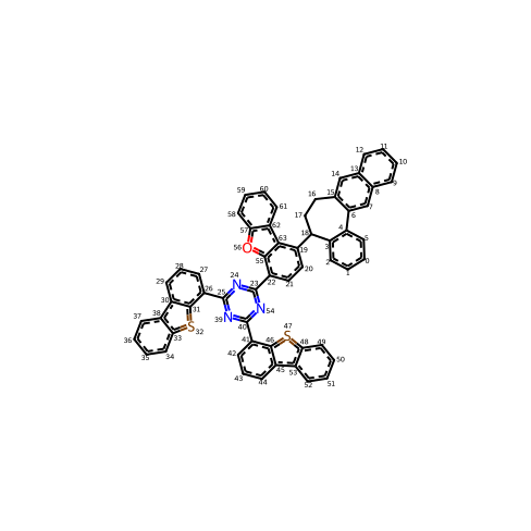 c1ccc2c(c1)-c1cc3ccccc3cc1CCC2c1ccc(-c2nc(-c3cccc4c3sc3ccccc34)nc(-c3cccc4c3sc3ccccc34)n2)c2oc3ccccc3c12